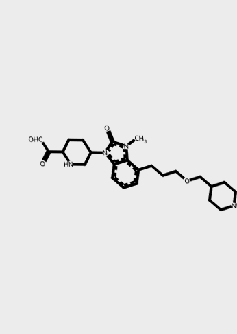 Cn1c(=O)n(C2CCC(C(=O)C=O)NC2)c2cccc(CCCOCC3CCNCC3)c21